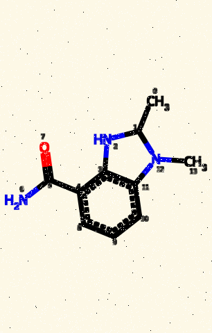 CC1Nc2c(C(N)=O)[c]ccc2N1C